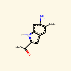 CNc1cc2cc(C(=O)OC)n(C)c2cc1N